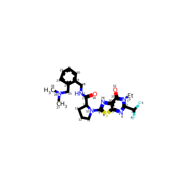 CCn1c(C(F)F)nc2sc(N3CCCC3C(=O)NCc3ccccc3CN(C)C)nc2c1=O